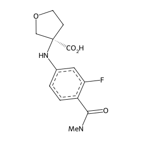 CNC(=O)c1ccc(N[C@]2(C(=O)O)CCOC2)cc1F